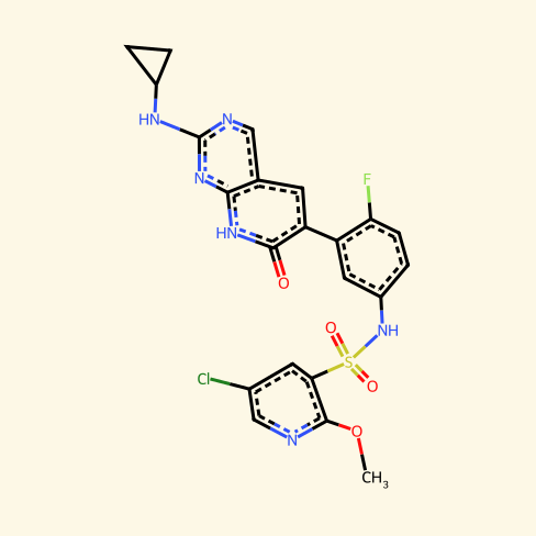 COc1ncc(Cl)cc1S(=O)(=O)Nc1ccc(F)c(-c2cc3cnc(NC4CC4)nc3[nH]c2=O)c1